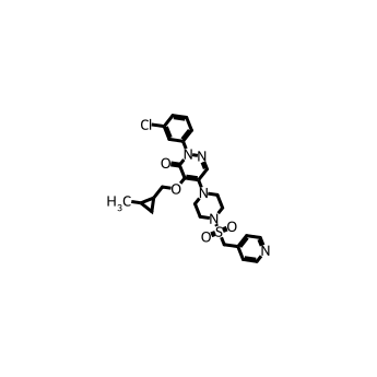 CC1CC1COc1c(N2CCN(S(=O)(=O)Cc3ccncc3)CC2)cnn(-c2cccc(Cl)c2)c1=O